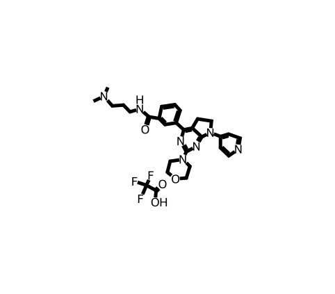 CN(C)CCCNC(=O)c1cccc(-c2nc(N3CCOCC3)nc3c2CCN3c2ccncc2)c1.O=C(O)C(F)(F)F